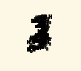 CCCC[C@H](NC(=O)[C@@H]1CCCN1C(=O)CNC(=O)[C@H](CCCCN)NC(=O)[C@H](Cc1c[nH]cn1)NC(=O)[C@H](CO)NC(=O)[C@@H](CC(C)C)NC(=O)[C@H](CCCNC(=N)N)NC(=O)[C@@H]1CCCN1C(=O)[C@@H](N)CCCNC(=N)N)C(=O)NC(C)(C)C(=O)N[C@@H](Cc1ccc(Br)cc1)C(=O)O